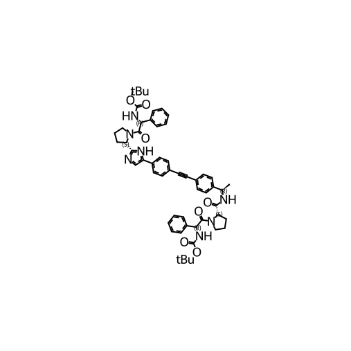 C[C@@H](NC(=O)[C@@H]1CCCN1C(=O)[C@H](NC(=O)OC(C)(C)C)c1ccccc1)c1ccc(C#Cc2ccc(-c3cnc([C@@H]4CCCN4C(=O)[C@H](NC(=O)OC(C)(C)C)c4ccccc4)[nH]3)cc2)cc1